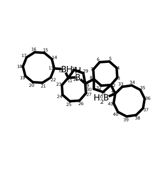 BC1(C23CCCCCC(C45BC(BC6CCCCCCCCC6)(CCCCC4)CC5)(CC2)C3)CCCCCCCCC1